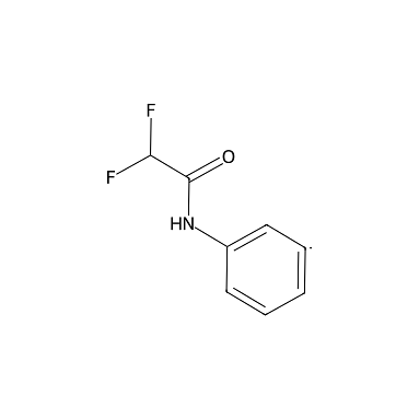 O=C(Nc1c[c]ccc1)C(F)F